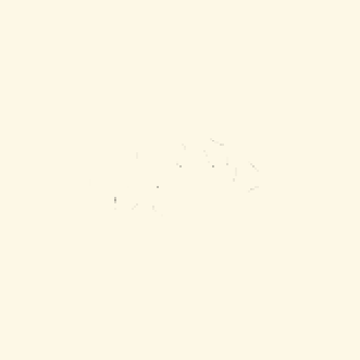 Cc1cc(C(=O)N2CCN(C(=O)c3ncn(-c4cccc(F)c4)n3)C(C)(C)C2)oc1C